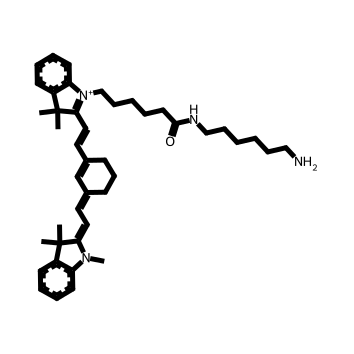 CN1/C(=C/C=C2C=C(/C=C/C3=[N+](CCCCCC(=O)NCCCCCCN)c4ccccc4C3(C)C)CCC/2)C(C)(C)c2ccccc21